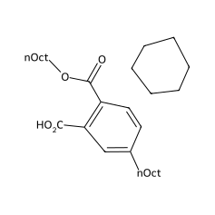 C1CCCCC1.CCCCCCCCOC(=O)c1ccc(CCCCCCCC)cc1C(=O)O